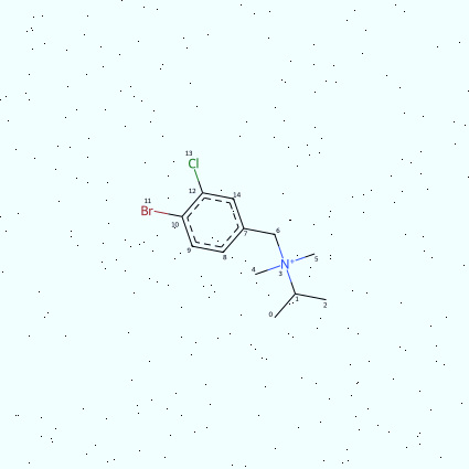 CC(C)[N+](C)(C)Cc1ccc(Br)c(Cl)c1